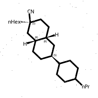 CCCCCC[C@]1(C#N)CC[C@@H]2C[C@@H](C3CCC(CCC)CC3)CC[C@@H]2C1